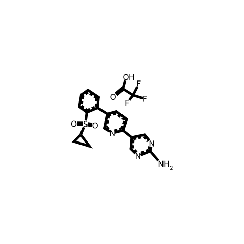 Nc1ncc(-c2ccc(-c3ccccc3S(=O)(=O)C3CC3)cn2)cn1.O=C(O)C(F)(F)F